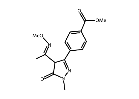 CON=C(C)C1C(=O)N(C)N=C1c1ccc(C(=O)OC)cc1